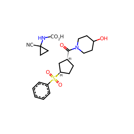 N#CC1(NC(=O)O)CC1.O=C([C@@H]1CC[C@@H](S(=O)(=O)c2ccccc2)C1)N1CCC(O)CC1